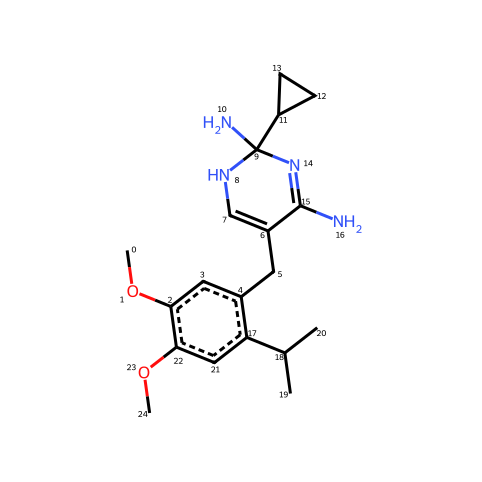 COc1cc(CC2=CNC(N)(C3CC3)N=C2N)c(C(C)C)cc1OC